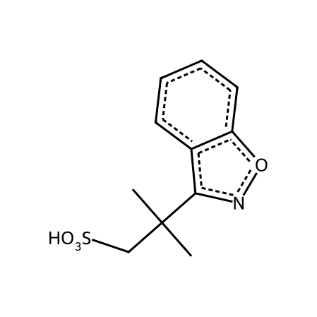 CC(C)(CS(=O)(=O)O)c1noc2ccccc12